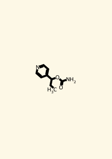 CCC(OC(N)=O)c1ccncc1